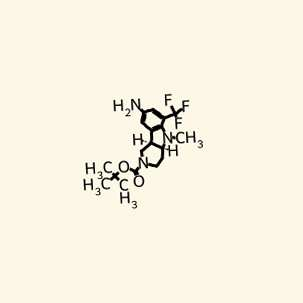 CN1c2c(cc(N)cc2C(F)(F)F)[C@@H]2CN(C(=O)OC(C)(C)C)CC[C@@H]21